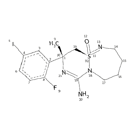 C[C@@]1(c2cc(I)ccc2F)C[S@@]2(=O)=NCCCCN2C(N)=N1